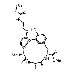 CN[C@@H]1C(=O)N[C@@H](C)C(=O)N[C@H](C(=O)OC)Cc2ccc(O)c(c2)-c2cc1ccc2OCCNC(=O)OC(C)(C)C